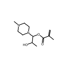 C=C(C)C(=O)OC(C(C)O)N1CCN(C)CC1